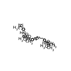 Cc1ncsc1-c1ccc(CNC(=O)[C@@H]2CCCN2C(=O)[C@H](C(C)C)N2Cc3ccc(N4CCN(CCCc5ccc(C(=O)NC6C(C)(C)CC6(C)C)cc5)CC4)cc3C2=O)cc1